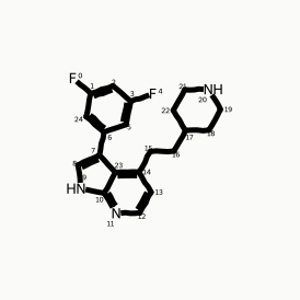 Fc1cc(F)cc(-c2c[nH]c3nccc(CCC4CCNCC4)c23)c1